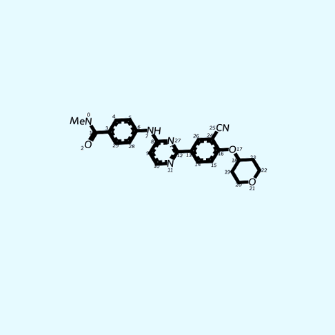 CNC(=O)c1ccc(Nc2ccnc(-c3ccc(OC4CCOCC4)c(C#N)c3)n2)cc1